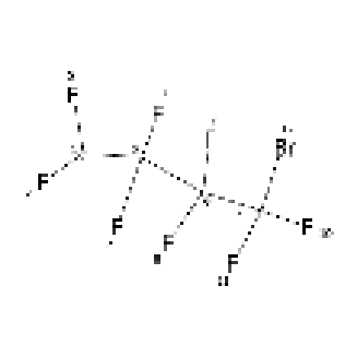 F[C](F)C(F)(F)C(F)(F)C(F)(F)Br